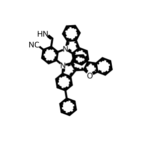 N#Cc1ccc(-n2c3ccc(-c4ccccc4)cc3c3c4oc5ccccc5c4ccc32)c(-n2c3ccccc3c3ccccc32)c1C=N